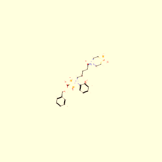 O=C(CCC1CN(S(=O)(=O)C(=O)OCc2ccccc2)c2ccccc2O1)N1CCS(=O)(=O)CC1